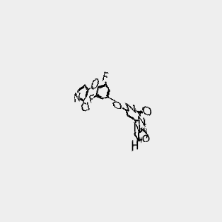 O=c1nc(OCc2cc(F)c(Oc3ccnc(Cl)c3)c(F)c2)cc2n1C[C@@]13CO[C@@H](CN21)C3